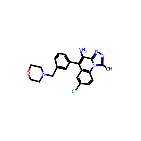 Cc1nnc2c(N)c(-c3cccc(CN4CCOCC4)c3)c3cc(Cl)ccc3n12